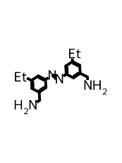 CCc1cc(CN)cc(/N=N/c2cc(CC)cc(CN)c2)c1